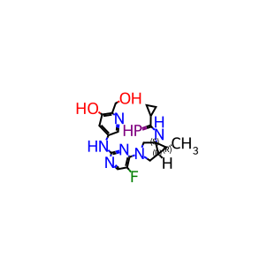 C[C@@H]1[C@@H]2CN(c3nc(Nc4cnc(CO)c(O)c4)ncc3F)C[C@]12NC(=P)C1CC1